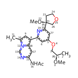 CO[C@H](C)COc1cc(-c2cc(C)n3cnc(NC(C)=O)cc23)nc([C@]2(OC)CCOC2)c1